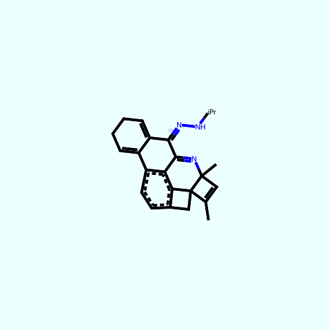 CC1=CC2(C)N=C3/C(=N\NC(C)C)C4=CCCC=C4c4ccc5c(c43)C12C5